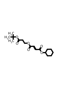 CC(C)(C)OC(=O)CCOC(=O)/C=C/C(=O)OC1CCCCC1